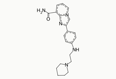 NC(=O)c1cccn2cc(-c3ccc(NCCN4CCCCC4)cc3)nc12